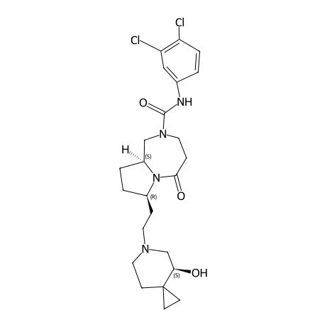 O=C(Nc1ccc(Cl)c(Cl)c1)N1CCC(=O)N2[C@@H](CCN3CCC4(CC4)[C@H](O)C3)CC[C@H]2C1